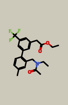 CCOC(=O)Cc1cc(-c2ccc(C)cc2CN(CC)C(C)=O)cc(C(F)(F)F)c1